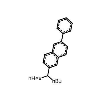 CCCCCCC(CCCC)c1ccc2cc(-c3ccccc3)ccc2c1